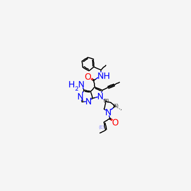 CC#Cc1c(C(=O)NC(C)c2ccccc2)c2c(N)ncnc2n1[C@@H]1C[C@H](C)N(C(=O)/C=C/C)C1